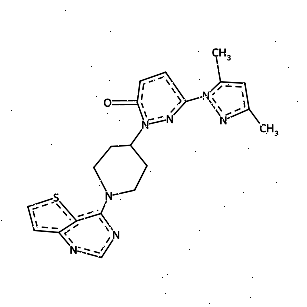 Cc1cc(C)n(-c2ccc(=O)n(C3CCN(c4ncnc5ccsc45)CC3)n2)n1